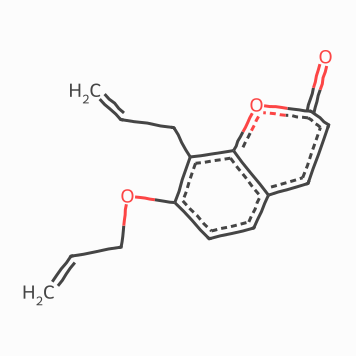 C=CCOc1ccc2ccc(=O)oc2c1CC=C